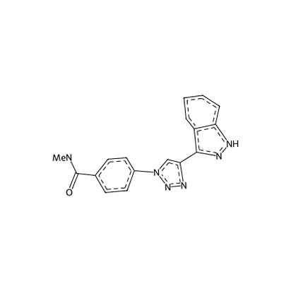 CNC(=O)c1ccc(-n2cc(-c3n[nH]c4ccccc34)nn2)cc1